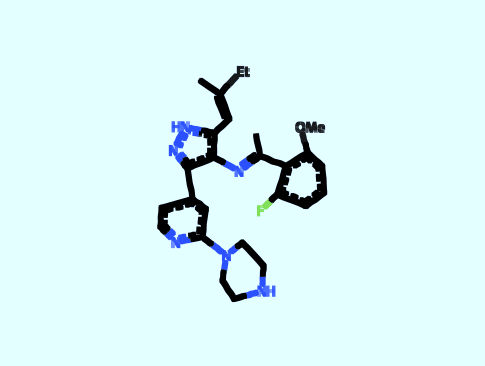 CC/C(C)=C/c1[nH]nc(-c2ccnc(N3CCNCC3)c2)c1/N=C(\C)c1c(F)cccc1OC